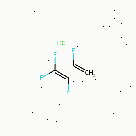 C=CF.Cl.FC=C(F)F